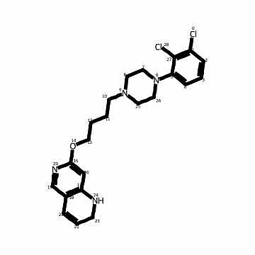 Clc1cccc(N2CCN(CCCCOc3cc4c(cn3)C=CCN4)CC2)c1Cl